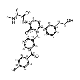 CNC(C)C(=O)Nc1ccc(-c2cccc(CCO)c2)n(Cc2cncc(C(=O)c3ccc(F)cc3)c2)c1=O